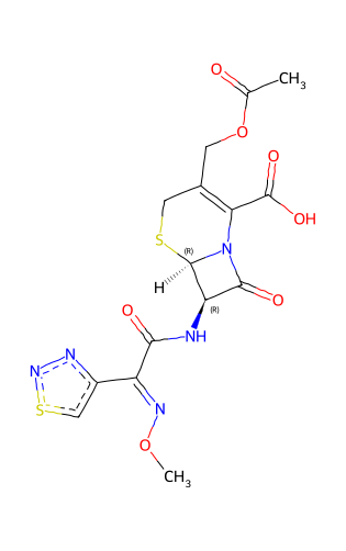 CON=C(C(=O)N[C@@H]1C(=O)N2C(C(=O)O)=C(COC(C)=O)CS[C@H]12)c1csnn1